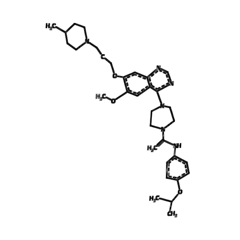 C=C(Nc1ccc(OC(C)C)cc1)N1CCN(c2ncnc3cc(OCCCN4CCC(C)CC4)c(OC)cc23)CC1